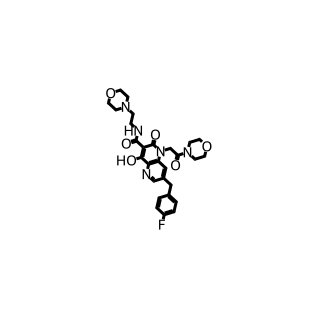 O=C(NCCN1CCOCC1)c1c(O)c2ncc(Cc3ccc(F)cc3)cc2n(CC(=O)N2CCOCC2)c1=O